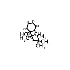 CC(C)(C)CC(C)(C)C1(O)CCCCC1